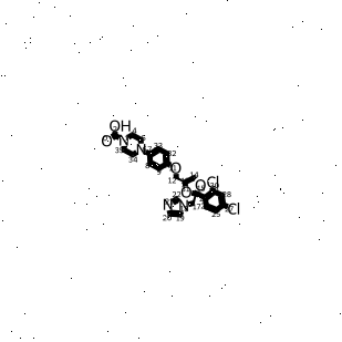 O=C(O)N1CCN(c2ccc(OC[C@H]3CO[C@](Cn4ccnc4)(c4ccc(Cl)cc4Cl)O3)cc2)CC1